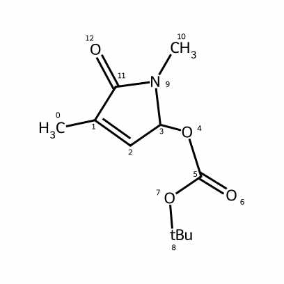 CC1=CC(OC(=O)OC(C)(C)C)N(C)C1=O